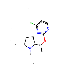 C[C@H](Oc1nccc(Cl)n1)[C@@H]1CCCN1C